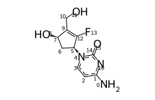 Nc1ccn([C@H]2C[C@@H](O)C(CO)=C2F)c(=O)n1